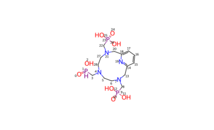 O=[PH](O)CN1CCN(CP(=O)(O)O)Cc2cccc(n2)CN(CP(=O)(O)O)CC1